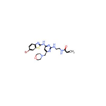 C=CC(=O)NCCNc1nc(CN2CCOCC2)cc(Nc2nc3ccc(Br)cc3s2)n1